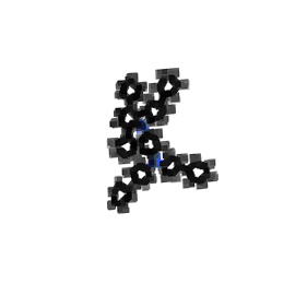 c1ccc(-c2ccc(N(c3ccc(-c4ccccc4)cc3)c3ccc(-n4c5ccc(-c6ccccc6)cc5c5c(-c6ccccc6)ccc(-c6ccccc6)c54)cc3)cc2)cc1